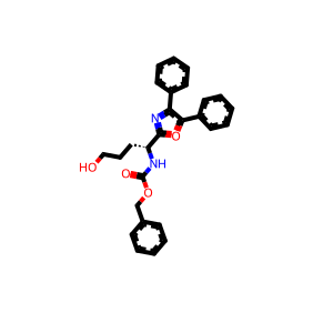 O=C(N[C@H](CCCO)c1nc(-c2ccccc2)c(-c2ccccc2)o1)OCc1ccccc1